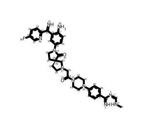 CN/C=N\C(=N)c1ccc(N2CCN(C(=O)CN3CC[C@]4(CCN(c5ccc(N)c(C(=N)c6ccc(F)cn6)c5)C4=O)C3)CC2)cc1